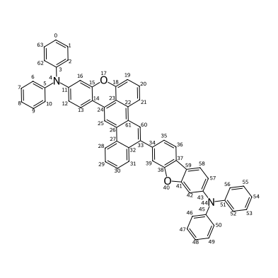 c1ccc(N(c2ccccc2)c2ccc3c(c2)Oc2cccc4c2c-3cc2c3ccccc3c(-c3ccc5c(c3)oc3cc(N(c6ccccc6)c6ccccc6)ccc35)cc42)cc1